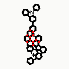 c1ccc(-c2ccccc2-c2ccccc2N(c2ccc(-c3ccc4c(c3)c3ccccc3n4-c3ccccc3)cc2)c2ccccc2-c2ccc3c(c2)C2(c4ccccc4-3)c3ccccc3-n3c4ccccc4c4cccc2c43)cc1